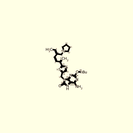 C=C(/C=C\C(=C/C)CN1CCCC1)c1ncc(Cn2c(=O)[nH]c3c(N)nc(OCCCC)nc32)s1